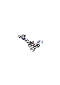 C\C=C/C=C\C=C\c1c2c(c(-c3ccccc3)c3ccccc13)-c1cccc3c1[C@H]2CC=C3c1ccc(-c2ccc3c(c2)-c2ccccc2[C@@H](c2ccccc2)N3C)cc1